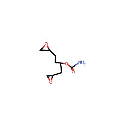 NC(=O)OC(CCC1CO1)CC1CO1